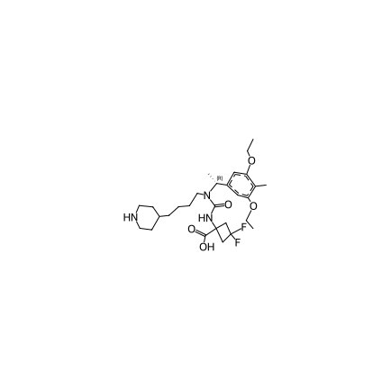 CCOc1cc([C@@H](C)N(CCCCC2CCNCC2)C(=O)NC2(C(=O)O)CC(F)(F)C2)cc(OCC)c1C